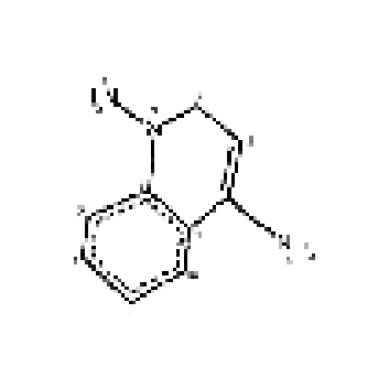 NC1=CCN(N)c2ccccc21